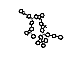 CC1(C)c2cc(CC3(C)c4ccccc4-c4ccc(N(c5ccc(-c6ccc7c(c6)c6ccccc6n7-c6ccccc6)cc5)c5ccc(-c6cc7ccccc7o6)cc5)cc43)ccc2-c2ccc(N(c3ccc(-c4ccc(-c5ccccc5)cc4)cc3)c3ccc4c(c3)C(c3ccccc3)(c3ccccc3)c3ccccc3-4)cc21